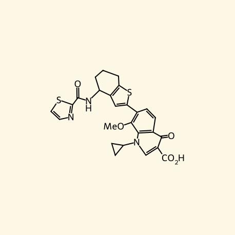 COc1c(-c2cc3c(s2)CCCC3NC(=O)c2nccs2)ccc2c(=O)c(C(=O)O)cn(C3CC3)c12